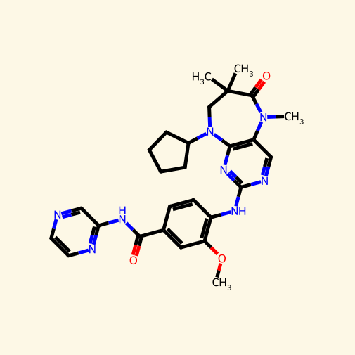 COc1cc(C(=O)Nc2cnccn2)ccc1Nc1ncc2c(n1)N(C1CCCC1)CC(C)(C)C(=O)N2C